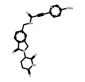 COc1ccc(C#CC(=O)NCc2ccc3c(c2)CN(C2CCC(=O)NC2=O)C3=O)nc1